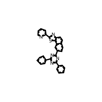 c1ccc(-c2nc(-c3ccccc3)nc(-c3ccc4ccc5nc(-c6ccccn6)sc5c4c3)n2)cc1